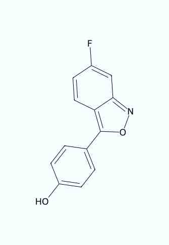 Oc1ccc(-c2onc3cc(F)ccc23)cc1